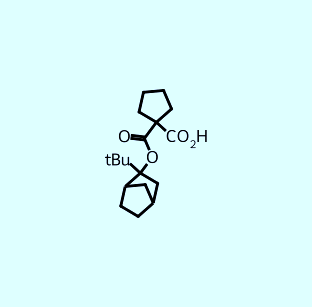 CC(C)(C)C1(OC(=O)C2(C(=O)O)CCCC2)CC2CCC1C2